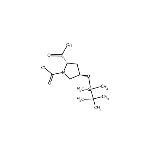 CC(C)(C)[Si](C)(C)O[C@@H]1C[C@@H](C(=O)O)N(C(=O)Cl)C1